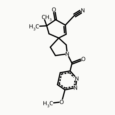 COc1ccc(C(=O)N2CCC3(C=C(C#N)C(=O)C(C)(C)C3)C2)nn1